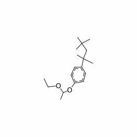 CCOC(C)Oc1ccc(C(C)(C)CC(C)(C)C)cc1